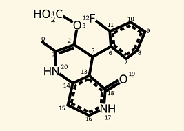 CC1=C(OC(=O)O)C(c2ccccc2F)c2c(cc[nH]c2=O)N1